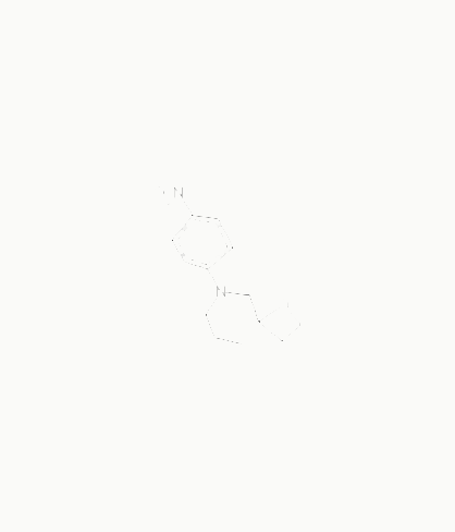 O=[N+]([O-])c1ccc(N2CCC[C@]3(CCO3)C2)cc1